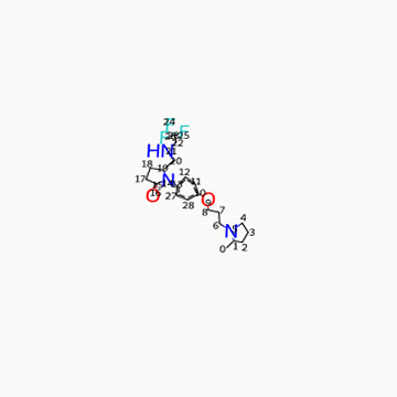 CC1CCCN1CCCOc1ccc(N2C(=O)CC[C@H]2CNCC(F)(F)F)cc1